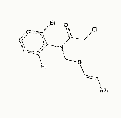 CCCC=COCN(C(=O)CCl)c1c(CC)cccc1CC